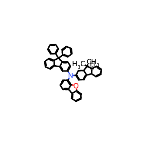 CC1(C)C2CC(N(c3ccc4c(c3)-c3ccccc3C4(c3ccccc3)c3ccccc3)c3cccc4c3oc3ccccc34)=CC=C2C2C=CC=C[C@@H]21